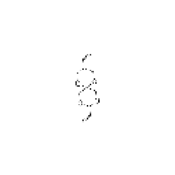 C=CC1COC2(COC(C=C)OC2)OC1